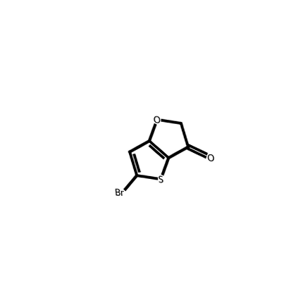 O=C1COc2cc(Br)sc21